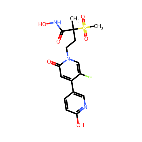 CC(CCn1cc(F)c(-c2ccc(O)nc2)cc1=O)(C(=O)NO)S(C)(=O)=O